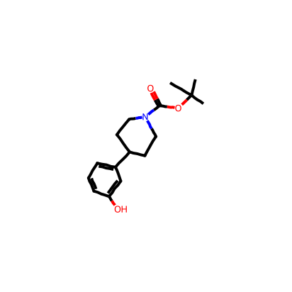 CC(C)(C)OC(=O)N1CCC(c2cccc(O)c2)CC1